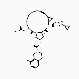 CC(C)(C)OC(=O)N[C@H]1CCCCC/C=C\[C@@H]2C[C@@]2(C(=O)NS(=O)(=O)C2CC2)NC(=O)[C@@H]2C[C@@H](OC(=O)N3CCc4cccc(F)c4C3)CN2C1=O